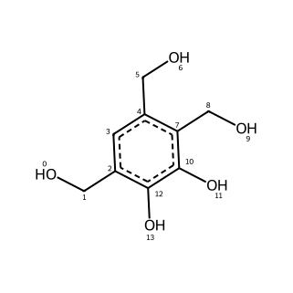 OCc1cc(CO)c(CO)c(O)c1O